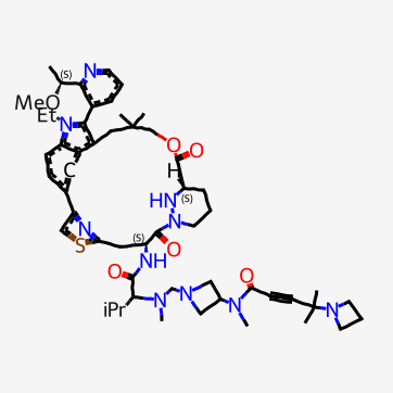 CCn1c(-c2cccnc2[C@H](C)OC)c2c3cc(ccc31)-c1csc(n1)C[C@H](NC(=O)C(C(C)C)N(C)CN1CC(N(C)C(=O)C#CC(C)(C)N3CCC3)C1)C(=O)N1CCC[C@H](N1)C(=O)OCC(C)(C)C2